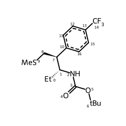 CC[C@@H](NC(=O)OC(C)(C)C)[C@@H](CSC)c1ccc(C(F)(F)F)cc1